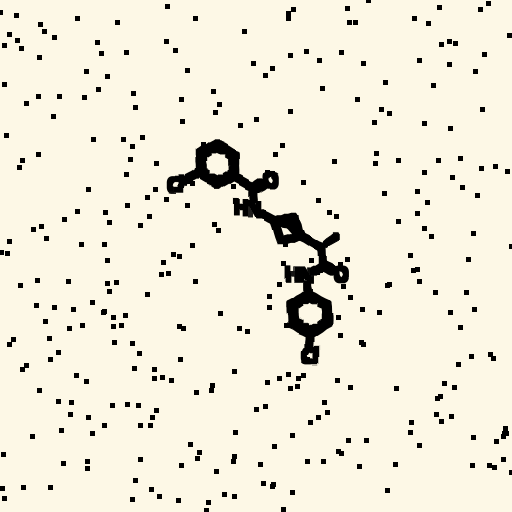 C[C@@H](C(=O)Nc1ccc(Cl)cc1)C12CC(NC(=O)c3cccc(Cl)c3)(C1)C2